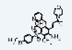 COc1ccc(S(=O)(=O)c2c(C)c(N)c(C=CC(=O)N3CCOCC3)c(Cc3cccnc3)c2C(=O)O)cc1